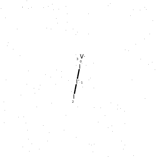 I[I-]I.[V]